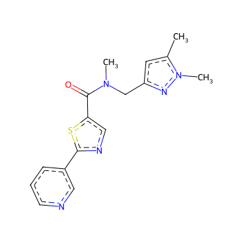 Cc1cc(CN(C)C(=O)c2cnc(-c3cccnc3)s2)nn1C